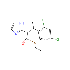 CCSC(=O)C(c1ncc[nH]1)C(C)c1ccc(Cl)cc1Cl